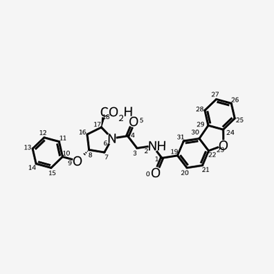 O=C(NCC(=O)N1C[C@H](Oc2ccccc2)C[C@H]1C(=O)O)c1ccc2oc3ccccc3c2c1